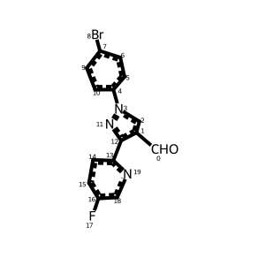 O=Cc1cn(-c2ccc(Br)cc2)nc1-c1ccc(F)cn1